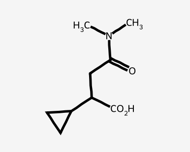 CN(C)C(=O)CC(C(=O)O)C1CC1